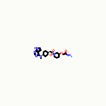 CN(c1ncnc2[nH]ccc12)[C@H]1CC[C@H](CS(=O)(=O)N2CCCC(OCC(N)=O)C2)CC1